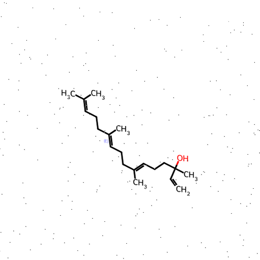 C=CC(C)(O)CCC=C(C)CC/C=C(\C)CCC=C(C)C